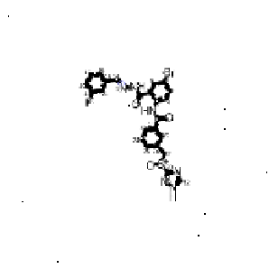 O=C(Nc1ccc(Br)cc1C(=O)N/N=C/c1cccc(F)c1)c1cccc(C[S+]([O-])c2nc[nH]n2)c1